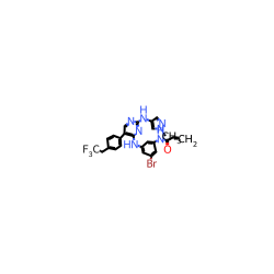 C=CC(=O)Nc1cc(Br)cc(Nc2nc(Nc3cnn(C)c3)ncc2-c2ccc(CC(F)(F)F)cc2)c1